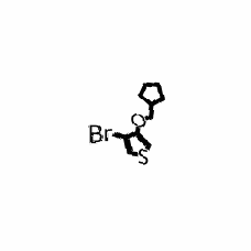 Brc1cscc1OCC1CCCC1